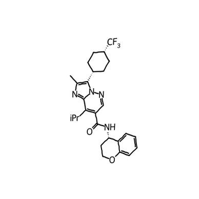 Cc1nc2c(C(C)C)c(C(=O)N[C@H]3CCOc4ccccc43)cnn2c1[C@H]1CC[C@@H](C(F)(F)F)CC1